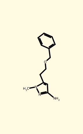 Cn1nc(N)cc1CCOCc1ccccc1